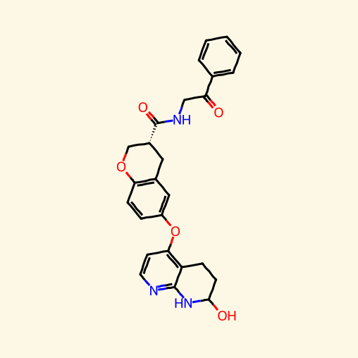 O=C(CNC(=O)[C@H]1COc2ccc(Oc3ccnc4c3CCC(O)N4)cc2C1)c1ccccc1